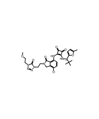 COCCn1nnn(CCN2Cc3c(Cl)ccc(Nc4c(N[C@@H](c5ccc(C)o5)C(C)(C)C)c(=O)c4=O)c3C2=O)c1=O